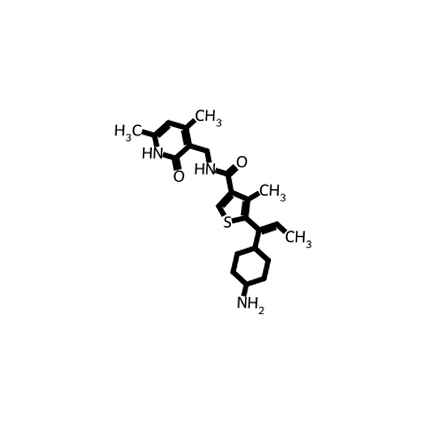 CC=C(c1scc(C(=O)NCc2c(C)cc(C)[nH]c2=O)c1C)C1CCC(N)CC1